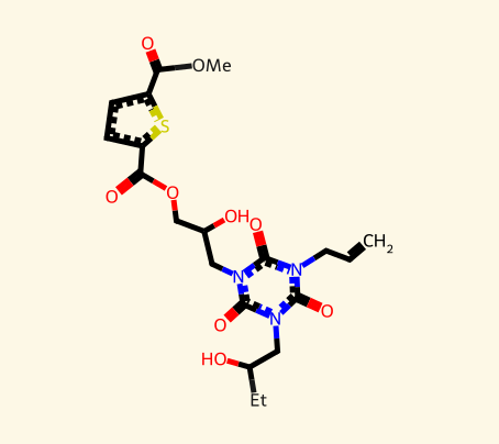 C=CCn1c(=O)n(CC(O)CC)c(=O)n(CC(O)COC(=O)c2ccc(C(=O)OC)s2)c1=O